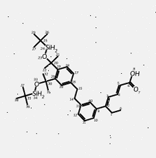 CCC(=CC=CC(=O)O)c1cccc(CCc2ccc(C(C)(C)O[SiH2]C(C)(C)C)c(C(C)(C)O[SiH2]C(C)(C)C)c2)c1